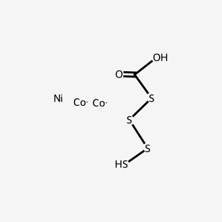 O=C(O)SSSS.[Co].[Co].[Ni]